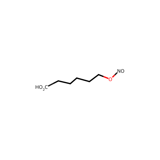 O=NOCCCCCC(=O)O